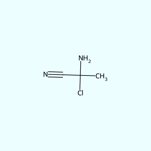 CC(N)(Cl)C#N